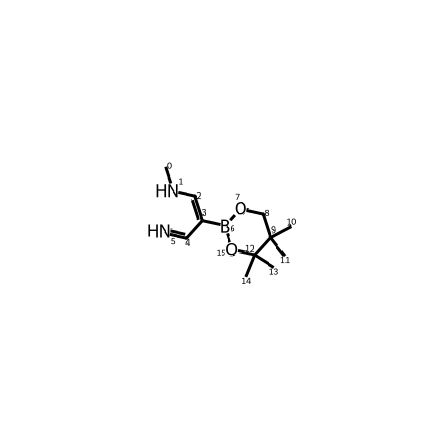 CN/C=C(\C=N)B1OCC(C)(C)C(C)(C)O1